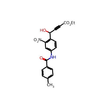 CCOC(=O)C#CC(O)c1ccc(NC(=O)c2ccc(C)cc2)cc1[N+](=O)[O-]